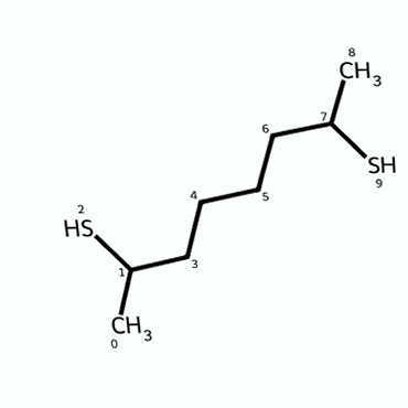 CC(S)CCCCC(C)S